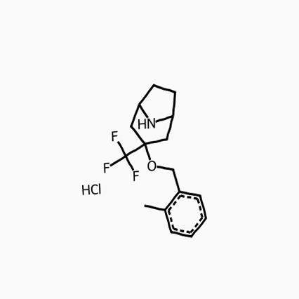 Cc1ccccc1COC1(C(F)(F)F)CC2CCC(C1)N2.Cl